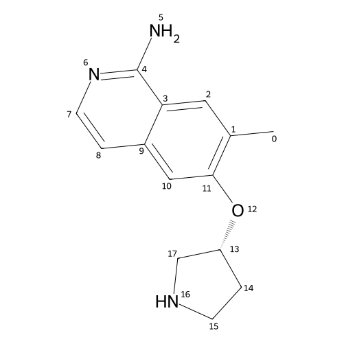 Cc1cc2c(N)nccc2cc1O[C@@H]1CCNC1